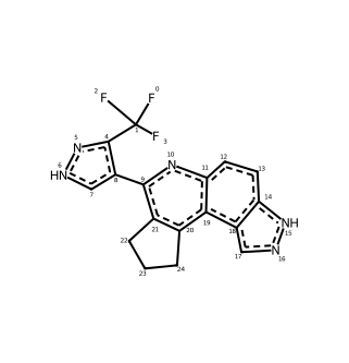 FC(F)(F)c1n[nH]cc1-c1nc2ccc3[nH]ncc3c2c2c1CCC2